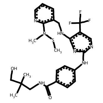 CSN(C)c1ncccc1CNc1nc(Nc2ccc(C(=O)NCC(C)(C)CO)cc2)ncc1C(F)(F)F